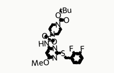 COc1cc(NS(=O)(=O)N2CCN(C(=O)OC(C)(C)C)CC2)nc(SCc2cccc(F)c2F)n1